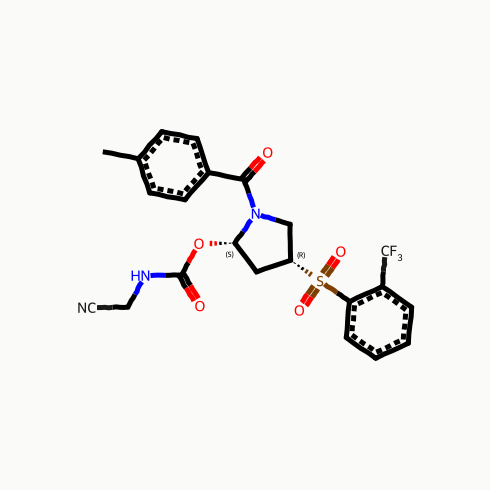 Cc1ccc(C(=O)N2C[C@H](S(=O)(=O)c3ccccc3C(F)(F)F)C[C@@H]2OC(=O)NCC#N)cc1